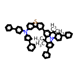 CC1(C)c2cc(-c3ccccc3)ccc2N2c3ccc(-c4ccccc4)cc3C(C)(C)c3cc(-c4ccc5sc6ccc(N(c7ccc(-c8ccccc8)cc7)c7ccc(-c8ccccc8)cc7)cc6c5c4)cc1c32